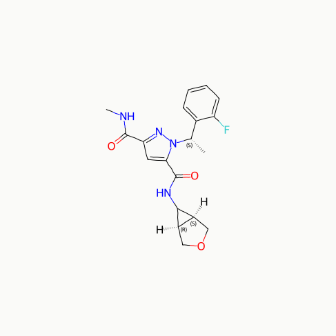 CNC(=O)c1cc(C(=O)NC2[C@H]3COC[C@@H]23)n([C@@H](C)c2ccccc2F)n1